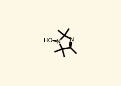 CC1=NC(C)(C)N(O)C1(C)C